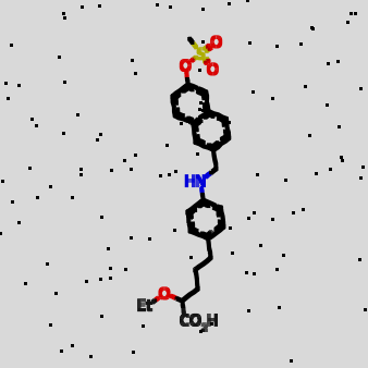 CCOC(CCCc1ccc(NCc2ccc3cc(OS(C)(=O)=O)ccc3c2)cc1)C(=O)O